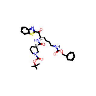 CC(C)(C)OC(=O)N1CCC[C@@H](C(=O)N[C@@H](CCCCNC(=O)OCc2ccccc2)C(=O)c2nc3ccccc3s2)C1